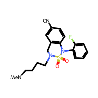 [C-]#[N+]c1ccc2c(c1)CN(CCCCNC)S(=O)(=O)N2c1ccccc1F